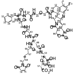 Cc1c(F)cc2nc3c(c4c2c1CC[C@@H]4NC(=O)COCNC(=O)CNC(=O)[C@H](Cc1ccccc1)NC(=O)CNC(=O)CNC(=O)[C@H](CCC(=O)NC[C@H]1O[C@@H](CC(=O)O)[C@H](O)[C@@H]1O)NC(=O)CCCCCN1C(=O)C=CC1=O)Cn1c-3cc2c(c1=O)COC(=O)[C@H]2O